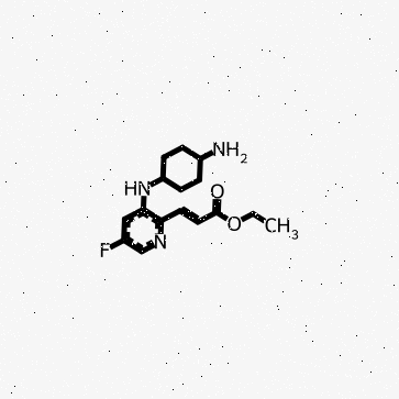 CCOC(=O)/C=C/c1ncc(F)cc1NC1CCC(N)CC1